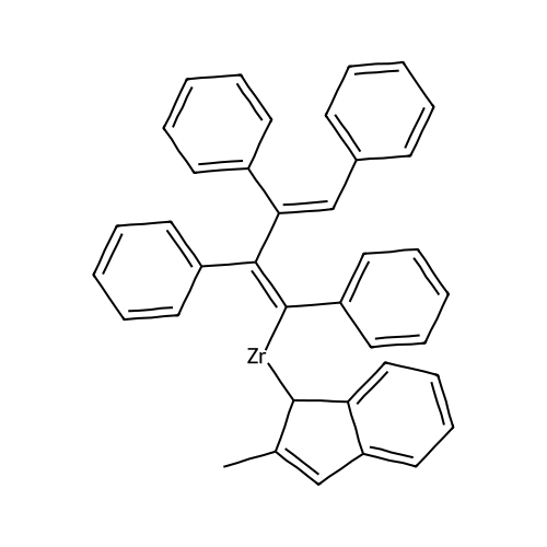 CC1=Cc2ccccc2[CH]1[Zr][C](=C(C(=Cc1ccccc1)c1ccccc1)c1ccccc1)c1ccccc1